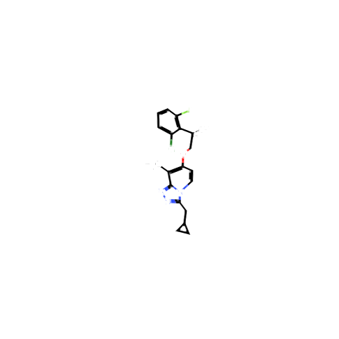 Cc1c(OC[C@H](C)c2c(F)cccc2Cl)ccn2c(CC3CC3)nnc12